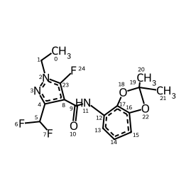 CCn1nc(C(F)F)c(C(=O)Nc2cccc3c2OC(C)(C)O3)c1F